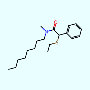 CCCCCCCCN(C)C(=O)C(SCC)c1ccccc1